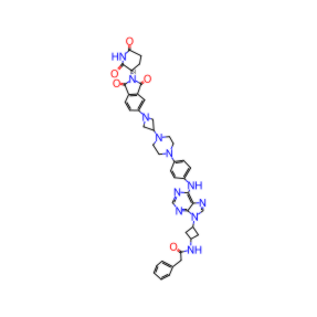 O=C1CC[C@H](N2C(=O)c3ccc(N4CC(N5CCN(c6ccc(Nc7ncnc8c7ncn8C7CC(NC(=O)Cc8ccccc8)C7)cc6)CC5)C4)cc3C2=O)C(=O)N1